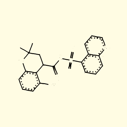 COc1cccc2c1C(C(=O)NS(=O)(=O)c1cccc3ncccc13)CC(C)(C)O2